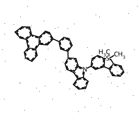 C[Si]1(C)c2ccccc2-c2cc(-n3c4ccccc4c4ccc(-c5cccc(-c6ccc7c8ccccc8c8ccccc8c7c6)c5)cc43)ccc21